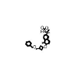 C[C@@]1(c2ccc3c(I)c(O[C@H]4C[C@H](COCc5ccccc5)C4)ccc3c2)COC(=O)N1